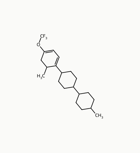 CC1CCC(C2CCC(C3=CC=C(OC(F)(F)F)CC3C)CC2)CC1